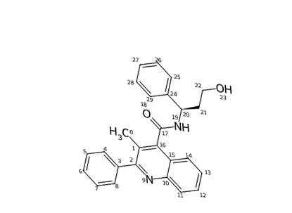 Cc1c(-c2ccccc2)nc2ccccc2c1C(=O)N[C@H](CCO)c1ccccc1